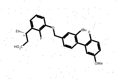 CC[C@@H](CC(=O)O)c1cccc(OCc2ccc(-c3cc(OC)ccc3F)c(C(C)(C)C)c2)c1F